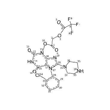 O=C(COC(=O)C(F)(F)F)On1c(=O)[nH]c(=O)c2c1nc(N1CCNCC1)n2-c1ccccc1Cl